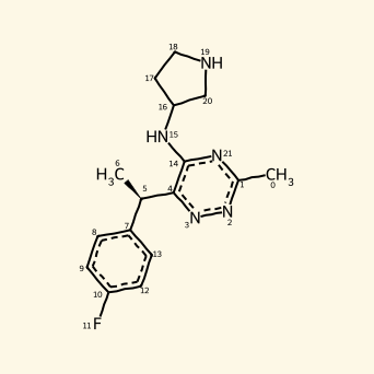 Cc1nnc([C@H](C)c2ccc(F)cc2)c(NC2CCNC2)n1